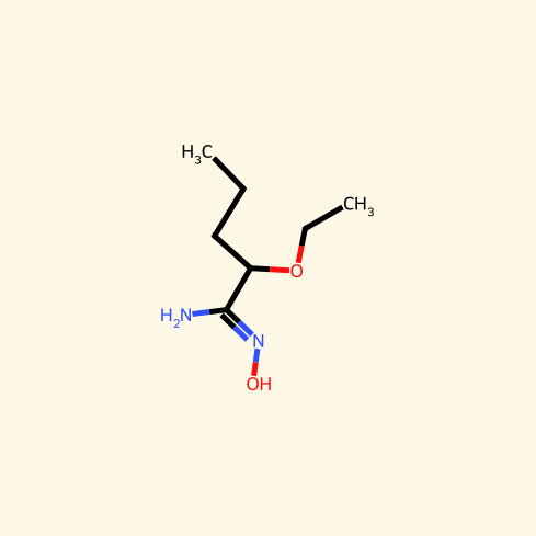 CCCC(OCC)/C(N)=N/O